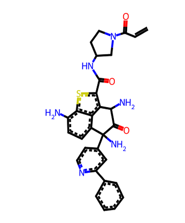 C=CC(=O)N1CCC(NC(=O)c2sc3c(N)ccc4c3c2C(N)C(=O)C4(N)c2ccnc(-c3ccccc3)c2)C1